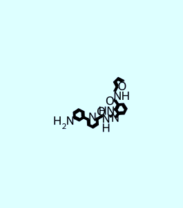 Nc1cccc(-c2cccc(C(=O)Nc3nc4cccc(C(=O)NCc5ccco5)c4[nH]3)n2)c1